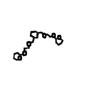 c1cc(COCCOC2CCCCO2)cc(COCCOC2CCCCO2)c1